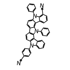 N#Cc1ccc(-n2c3ccccc3c3c2ccc2c4ccc5c(c6cccc(C#N)c6n5-c5ccccc5)c4n(-c4ccccc4)c23)cc1